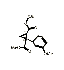 COC(=O)[C@]1(C2C=C(OC)C=CC2)C[C@H]1C(=O)OC(C)(C)C